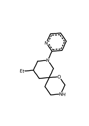 CCC1CN(c2ccccn2)CC2(CCNCO2)C1